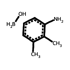 BO.Cc1cccc(N)c1C